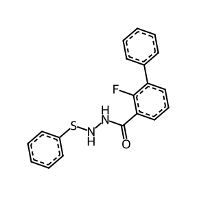 O=C(NNSc1ccccc1)c1cccc(-c2ccccc2)c1F